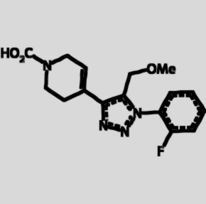 COCc1c(C2=CCN(C(=O)O)CC2)nnn1-c1ccccc1F